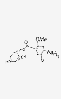 COc1cc(N)c(Cl)cc1C(=O)OC[C@@H]1CCNC[C@@H]1O